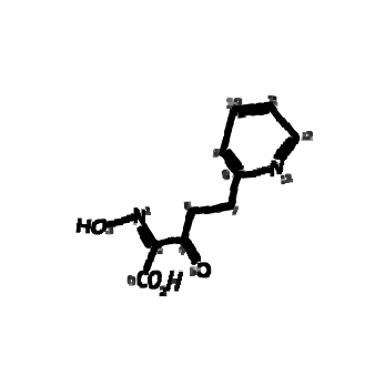 O=C(O)C(=NO)C(=O)CCc1ccccn1